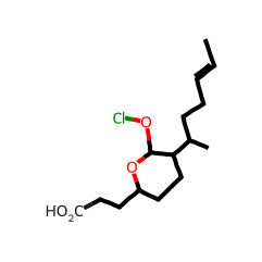 CC=CCCC(C)C1CCC(CCC(=O)O)OC1OCl